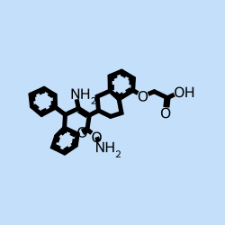 NOC(=O)C(=C(N)C(c1ccccc1)c1ccccc1)C1CCc2c(cccc2OCC(=O)O)C1